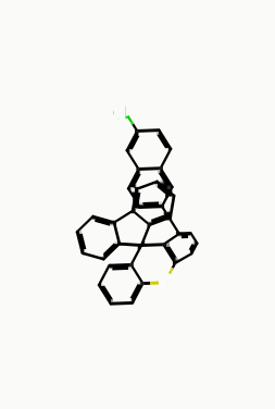 Clc1ccc2cc(-c3cccc4c3C3(c5ccccc5S4)c4ccccc4-c4ccccc43)ccc2c1